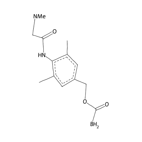 BC(=O)OCc1cc(C)c(NC(=O)CNC)c(C)c1